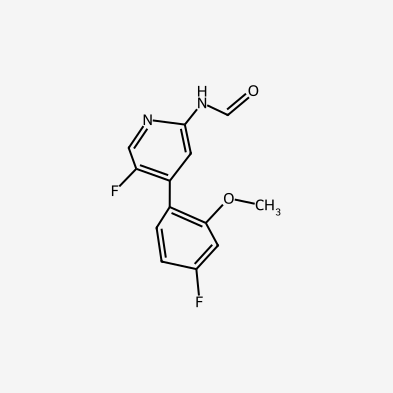 COc1cc(F)ccc1-c1cc(NC=O)ncc1F